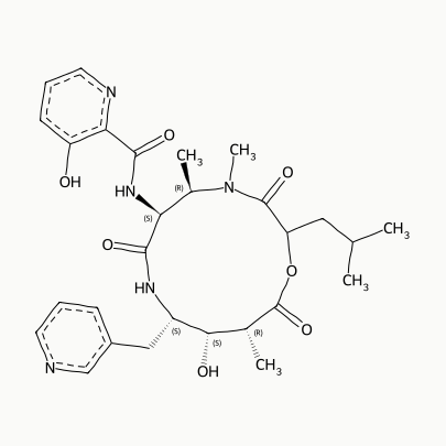 CC(C)CC1OC(=O)[C@H](C)[C@H](O)[C@H](Cc2cccnc2)NC(=O)[C@@H](NC(=O)c2ncccc2O)[C@@H](C)N(C)C1=O